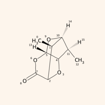 C[C@@H]1C2OC3[C@H](OC2=O)O[C@H]1[C@H]3C